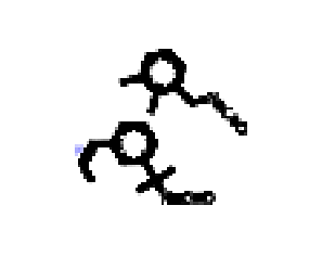 C/C=C\c1cccc(C(C)(C)N=C=O)c1.Cc1cccc(CN=C=O)c1C